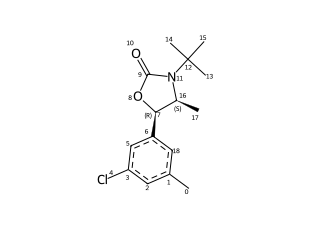 Cc1cc(Cl)cc([C@H]2OC(=O)N(C(C)(C)C)[C@H]2C)c1